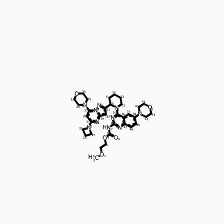 COCCOC(=O)Nc1nc(N2CCCCC2c2cc3nc(N4CCC4)cc(N4CCOCC4)n3n2)c2cc(N3CCOCC3)ccc2n1